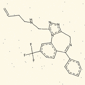 C=CCCNCc1nnc2n1-c1cc(C(F)(F)F)ccc1C(c1ccccc1)=NC2